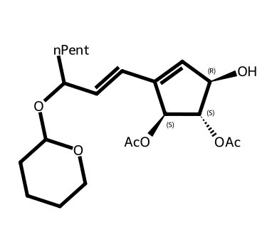 CCCCCC(C=CC1=C[C@@H](O)[C@H](OC(C)=O)[C@H]1OC(C)=O)OC1CCCCO1